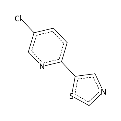 Clc1ccc(-c2cncs2)nc1